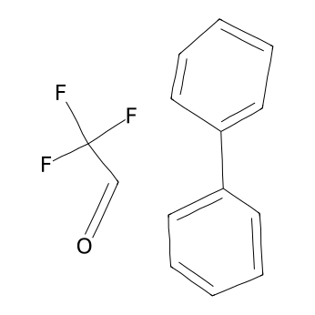 O=CC(F)(F)F.c1ccc(-c2ccccc2)cc1